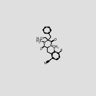 CCC1(Cc2ccccc2)C(=O)N(C)C(Cc2c(C#N)ccc(F)c2F)C(=O)N1C